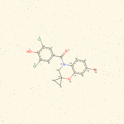 O=C(c1cc(Cl)c(O)c(Cl)c1)N1CC2(CC2)Oc2cc(Br)ccc21